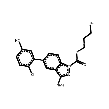 CNc1nn(C(=O)OCCCC(C)C)c2ccc(-c3cc(C#N)ccc3Cl)cc12